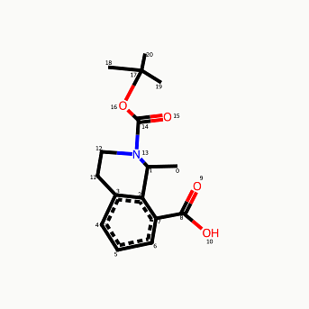 CC1c2c(cccc2C(=O)O)CCN1C(=O)OC(C)(C)C